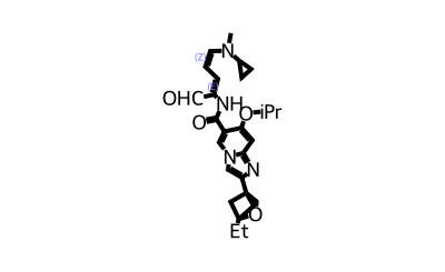 CCC12CC(c3cn4cc(C(=O)N/C(C=O)=C/C=C\N(C)C5CC5)c(OC(C)C)cc4n3)(CO1)C2